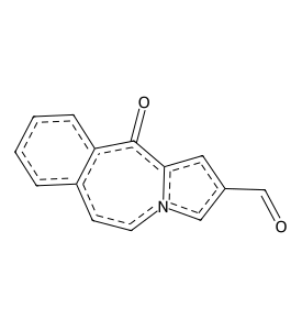 O=Cc1cc2c(=O)c3ccccc3ccn2c1